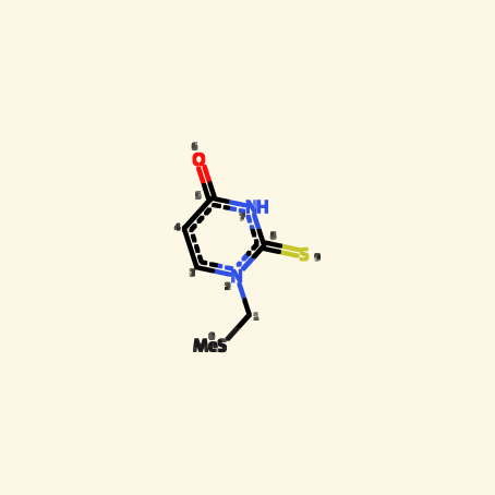 CSCn1ccc(=O)[nH]c1=S